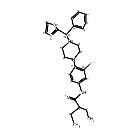 CCC(CC)C(=O)Nc1ccc(N2CCN([C@H](c3ccccc3)c3ncco3)CC2)c(F)c1